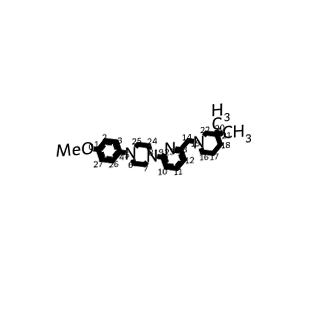 COc1ccc(N2CCN(c3cccc(CN4CCCC(C)(C)C4)n3)CC2)cc1